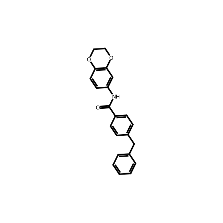 O=C(Nc1ccc2c(c1)OCCO2)c1ccc(Cc2ccccc2)cc1